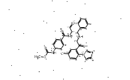 COC(=O)Nc1ccc(C(=O)NC(C=O)C(NCC(=O)c2cc(Cl)ccc2-n2cnnn2)c2ccccc2)cc1